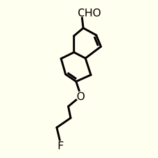 O=CC1C=CC2CC(OCCCF)=CCC2C1